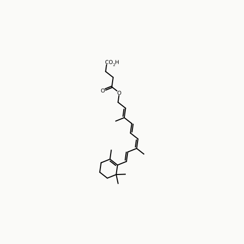 CC1=C(/C=C/C(C)=C\C=C\C(C)=C\COC(=O)CCC(=O)O)C(C)(C)CCC1